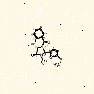 CSc1ccc(C2N(O)C(=O)CN2C(=O)c2ccccc2F)s1